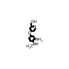 CNc1ccc(Oc2ccnc(CO)c2)cc1N